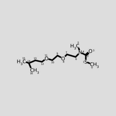 CSC(=O)N(C)CCOCCOCCC(C)C